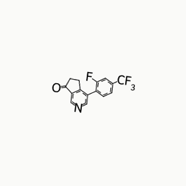 O=C1CCc2c1cncc2-c1ccc(C(F)(F)F)cc1F